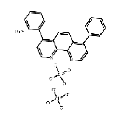 [O-][Cl+3]([O-])([O-])[O-].[O-][Cl+3]([O-])([O-])[O-].[Ru+2].c1ccc(-c2ccnc3c2ccc2c(-c4ccccc4)ccnc23)cc1